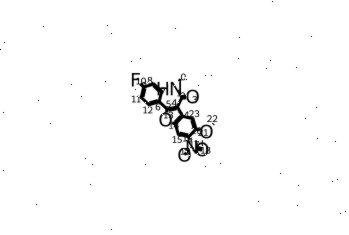 CNC(=O)c1c(-c2ccc(F)cc2)oc2cc([N+](=O)[O-])c(OC)cc12